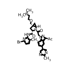 CC(=O)c1nn(CC(=O)N2[C@H](C(=O)Nc3nc(Br)ccc3C)C[C@@]3(COCCN(C)C)C[C@@H]23)c2ccc(-c3cnc(C)nc3)cc12